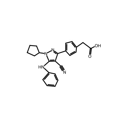 N#Cc1c(-c2ccc(CC(=O)O)cc2)nn(C2CCCC2)c1Nc1ccccc1